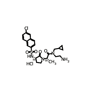 C[C@@H](C(=O)N(CCN)CC1CC1)N1CC[C@H](NS(=O)(=O)c2ccc3cc(Cl)ccc3c2)C1=O.Cl